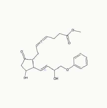 COC(=O)CCC=C=CCC1C(=O)CC(O)C1/C=C/C(O)COc1ccccc1